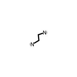 [N]CC[N]